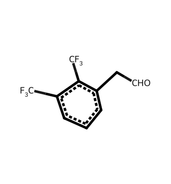 O=CCc1cccc(C(F)(F)F)c1C(F)(F)F